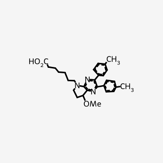 COC1CCN(CCCCCCC(=O)O)c2nc(-c3ccc(C)cc3)c(-c3ccc(C)cc3)nc21